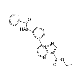 CCOC(=O)c1cnn2c(-c3cccc([AsH]C(=O)c4ccccc4)c3)ccnc12